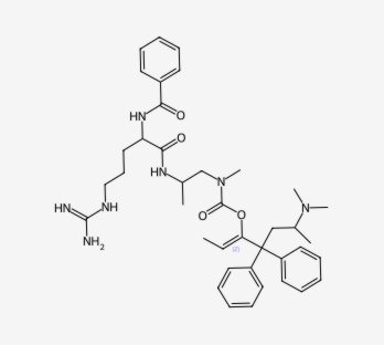 C/C=C(\OC(=O)N(C)CC(C)NC(=O)C(CCCNC(=N)N)NC(=O)c1ccccc1)C(CC(C)N(C)C)(c1ccccc1)c1ccccc1